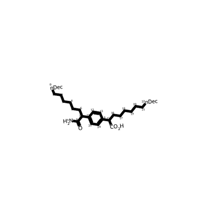 CCCCCCCCCCCCCCCCC(C(N)=O)c1ccc(C(CCCCCCCCCCCCCCCC)C(=O)O)cc1